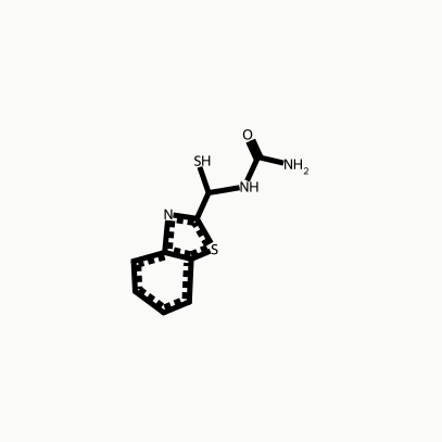 NC(=O)NC(S)c1nc2ccccc2s1